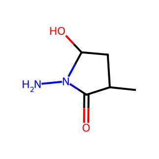 CC1CC(O)N(N)C1=O